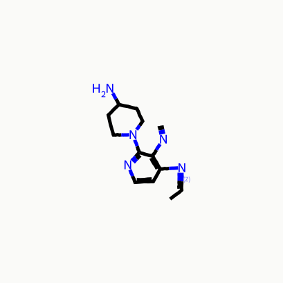 C=Nc1c(/N=C\C)ccnc1N1CCC(N)CC1